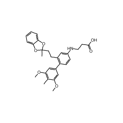 COc1cc(-c2ccc(NCCC(=O)O)cc2CCC2(C)Oc3ccccc3O2)cc(OC)c1C